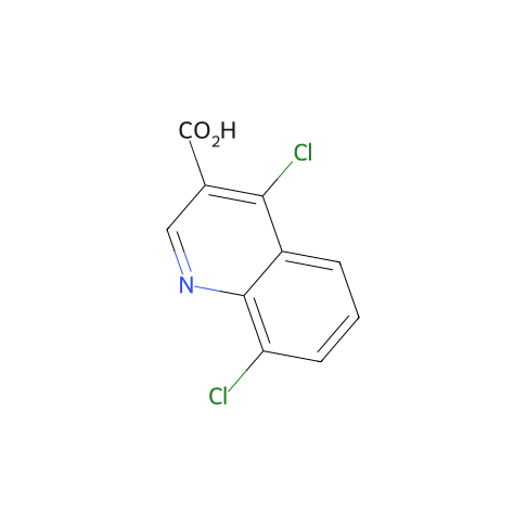 O=C(O)c1cnc2c(Cl)cccc2c1Cl